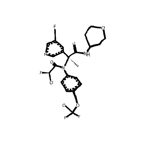 C[C@@](C(=O)NC1CCOCC1)(c1cncc(F)c1)N(C(=O)[C@H](F)Cl)c1ccc(OC(F)(F)Cl)cc1